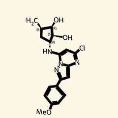 [CH2][C@@H]1C[C@@H](Nc2cc(Cl)nc3cc(-c4ccc(OC)cc4)nn23)[C@H](O)[C@@H]1O